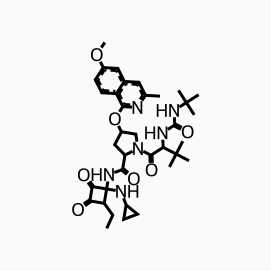 CCC1C(=O)C(=O)C1(NC(=O)C1CC(Oc2nc(C)cc3cc(OC)ccc23)CN1C(=O)C(NC(=O)NC(C)(C)C)C(C)(C)C)NC1CC1